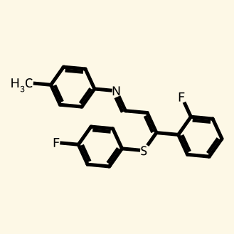 Cc1ccc(N=CC=C(Sc2ccc(F)cc2)c2ccccc2F)cc1